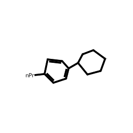 CCCc1ccc(C2CC[CH]CC2)cc1